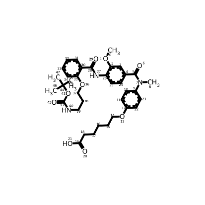 COc1cc(C(=O)N(C)c2ccc(OCCCCCC(=O)O)cc2)ccc1NC(=O)c1ccccc1OCCCNC(=O)OC(C)(C)C